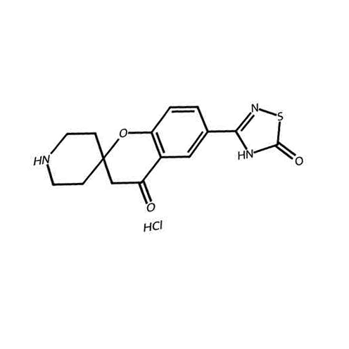 Cl.O=C1CC2(CCNCC2)Oc2ccc(-c3nsc(=O)[nH]3)cc21